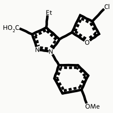 CCc1c(C(=O)O)nn(-c2ccc(OC)cc2)c1-c1cc(Cl)co1